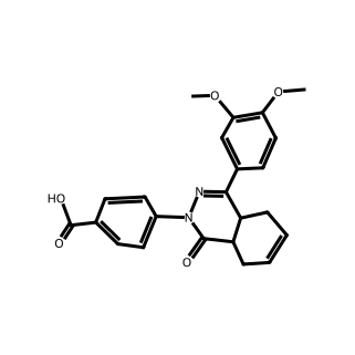 COc1ccc(C2=NN(c3ccc(C(=O)O)cc3)C(=O)C3CC=CCC23)cc1OC